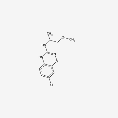 COCC(C)NC1=NSc2cc(Cl)ccc2N1